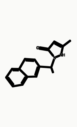 Cc1cc(=O)n(C(C)c2ccc3ccccc3c2)[nH]1